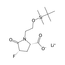 CC(C)(C)[Si](C)(C)OCCN1C(=O)[C@@H](F)C[C@H]1C(=O)[O-].[Li+]